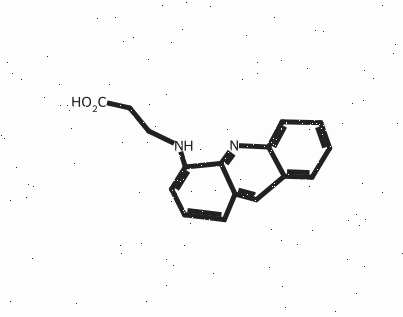 O=C(O)CCNc1cccc2cc3ccccc3nc12